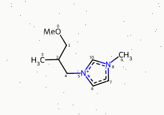 COCC(C)C[n+]1ccn(C)c1